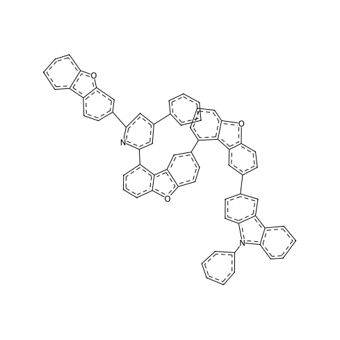 c1ccc(-c2cc(-c3ccc4c(c3)oc3ccccc34)nc(-c3cccc4oc5ccc(-c6cccc7oc8ccc(-c9ccc%10c(c9)c9ccccc9n%10-c9ccccc9)cc8c67)cc5c34)c2)cc1